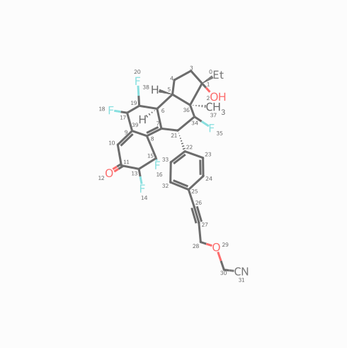 CC[C@]1(O)CC[C@H]2[C@H]3C(=C4C(=CC(=O)C(F)C4F)C(F)C3F)[C@@H](c3ccc(C#CCOCC#N)cc3)C(F)[C@@]21C